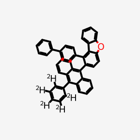 [2H]c1c([2H])c([2H])c(-c2c3ccccc3c(-c3ccc4oc5ccccc5c4c3-c3ccc(-c4ccccc4)cc3)c3ccccc23)c([2H])c1[2H]